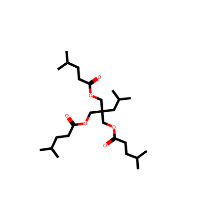 CC(C)CCC(=O)OCC(COC(=O)CCC(C)C)(COC(=O)CCC(C)C)CC(C)C